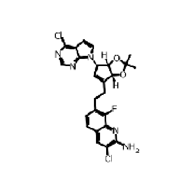 CC1(C)O[C@@H]2[C@H](O1)C(CCc1ccc3cc(Cl)c(N)nc3c1F)=C[C@H]2n1ccc2c(Cl)ncnc21